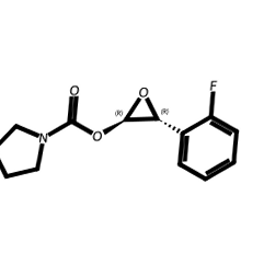 O=C(O[C@H]1O[C@@H]1c1ccccc1F)N1CCCC1